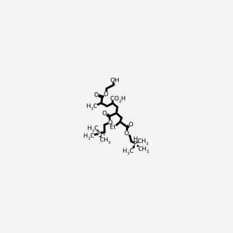 CCC(CC(CC(CC(C)C(=O)OCCO)C(=O)O)C(=O)OCC[PH](C)(C)C)C(=O)OCC[PH](C)(C)C